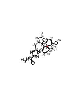 COc1ccc(C23OC(C)CN2Cc2nc(C(N)=O)nn2-c2ccc(Cl)cc23)cc1